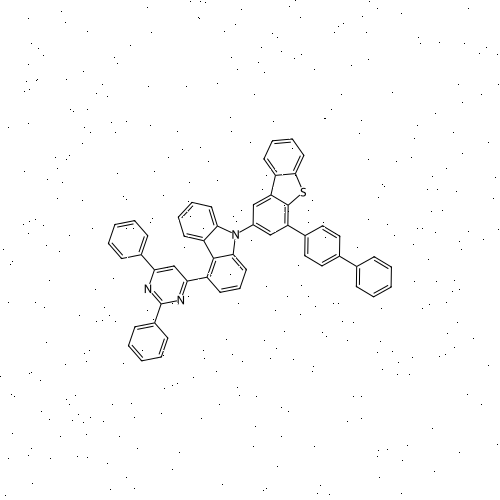 c1ccc(-c2ccc(-c3cc(-n4c5ccccc5c5c(-c6cc(-c7ccccc7)nc(-c7ccccc7)n6)cccc54)cc4c3sc3ccccc34)cc2)cc1